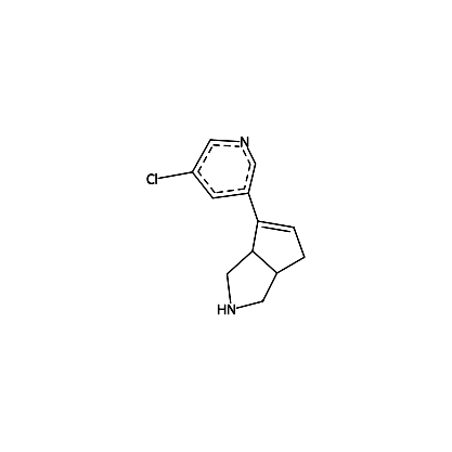 Clc1cncc(C2=CCC3CNCC23)c1